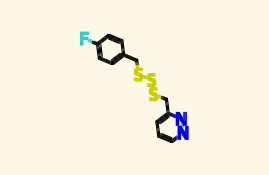 Fc1ccc(CSSSCc2cccnn2)cc1